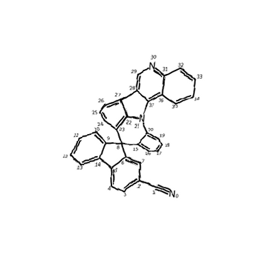 N#Cc1ccc2c(c1)C1(c3ccccc3-2)c2ccccc2-n2c3c1cccc3c1cnc3ccccc3c12